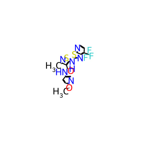 COc1ccc(NC(=O)c2c(C)nsc2Nc2nc3c(C(F)(F)F)ccnc3s2)cn1